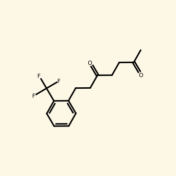 CC(=O)CCC(=O)CCc1ccccc1C(F)(F)F